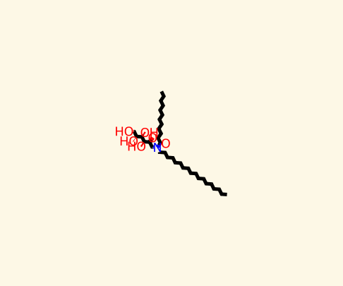 CCCCCCCCCCCCCCCCCCN(CC(=O)[C@@H](O)[C@H](O)[C@H](O)CO)C(=O)CCCCCCCCCCC